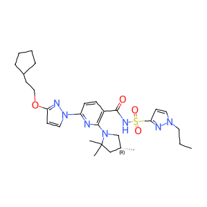 CCCn1ccc(S(=O)(=O)NC(=O)c2ccc(-n3ccc(OCCC4CCCC4)n3)nc2N2C[C@H](C)CC2(C)C)n1